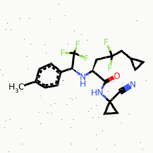 Cc1ccc([C@H](N[C@@H](CC(F)(F)CC2CC2)C(=O)NC2(C#N)CC2)C(F)(F)F)cc1